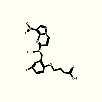 CN(Cc1cc(F)ccc1OCCCC(=O)O)c1ccn2ncc([N+](=O)[O-])c2n1